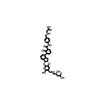 COc1nc(O[C@H]2CCc3c(-c4cccc(C(=O)Nc5ccc(CNCC(=O)O)cn5)c4Cl)cccc32)c(Cl)cc1CNC[C@@H](O)CC(=O)O